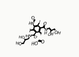 O=CNc1c(I)c(C(=O)NCC(O)CO)c(I)c(C(=O)NCC(O)CO)c1I.O=CO